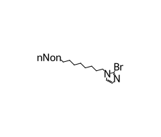 CCCCCCCCCCCCCCCCCn1ccnc1Br